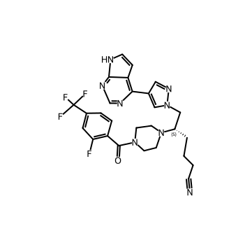 N#CCCC[C@@H](Cn1cc(-c2ncnc3[nH]ccc23)cn1)N1CCN(C(=O)c2ccc(C(F)(F)F)cc2F)CC1